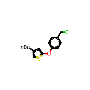 CCCCc1csc(Oc2ccc(CCl)cc2)c1